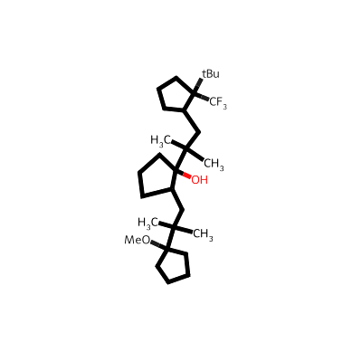 COC1(C(C)(C)CC2CCCC2(O)C(C)(C)CC2CCCC2(C(C)(C)C)C(F)(F)F)CCCC1